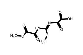 COC(=O)C(=O)N/C(=N/C(=O)C(=O)O)SC